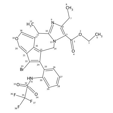 CCOC(=O)c1c(CC)nc(CC)n1Cc1c2ccocc-2c(Br)c1-c1ccccc1NS(=O)(=O)C(F)(F)F